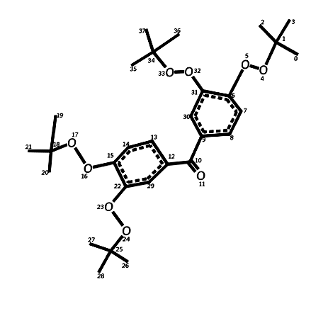 CC(C)(C)OOc1ccc(C(=O)c2ccc(OOC(C)(C)C)c(OOC(C)(C)C)c2)cc1OOC(C)(C)C